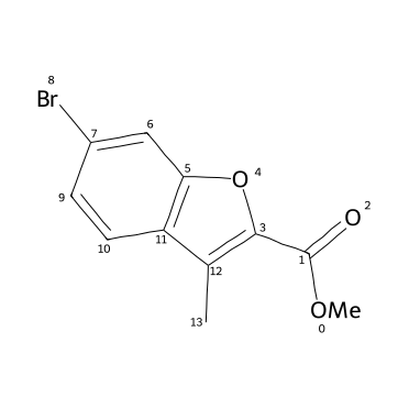 COC(=O)c1oc2cc(Br)ccc2c1C